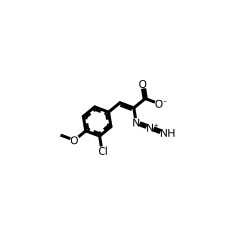 COc1ccc(C=C(N=[N+]=N)C(=O)[O-])cc1Cl